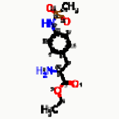 CCOC(=O)[C@@H](N)Cc1ccc(NS(C)(=O)=O)cc1